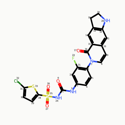 O=C(Nc1ccc(-n2ccc3cc4c(cc3c2=O)CCN4)c(F)c1)NS(=O)(=O)c1ccc(Cl)s1